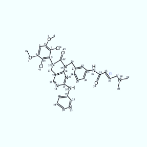 COc1cc(OC)c(Cl)c(N2Cc3cnc(Nc4cccnc4)nc3N(Cc3cccc(NC(=O)/C=C/CN(C)C)c3)C2=O)c1Cl